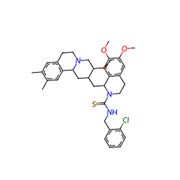 CCC1CN2CCc3cc(C)c(C)cc3C2CC1CC1c2cc(OC)c(OC)cc2CCN1C(=S)NCc1ccccc1Cl